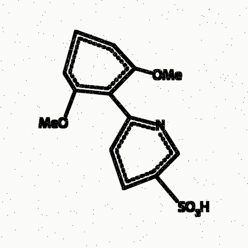 COc1cccc(OC)c1-c1ccc(S(=O)(=O)O)cn1